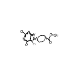 CCn1c(N2CCN(C(=O)OC(C)(C)C)CC2)nc2nc(Cl)nc(Cl)c21